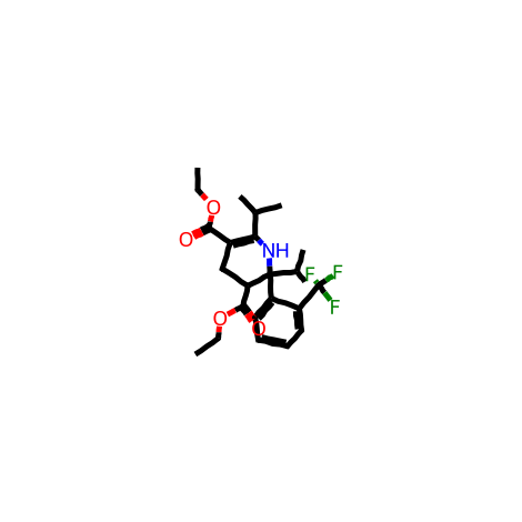 CCOC(=O)C1=C(C(C)C)NC(c2ccccc2C(F)(F)F)(C(C)C)C(C(=O)OCC)C1